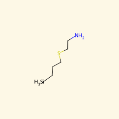 NCCSCCC[SiH3]